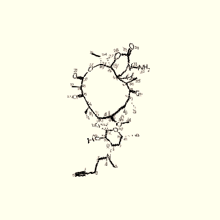 C#CCCN(C)[C@H]1C[C@@H](C)O[C@@H](O[C@@H]2[C@@H](C)C(=O)[C@@H](C)C(=O)O[C@H](CC)[C@@]3(C)OC(=O)N(N)[C@@H]3[C@@H](C)C(=O)[C@H](C)C[C@@]2(C)OC)[C@@H]1O